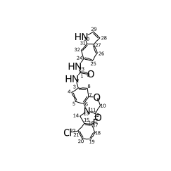 O=C(Nc1ccc2c(c1)OCC(=O)N2Cc1c(F)cccc1Cl)Nc1ccc2cc[nH]c2c1